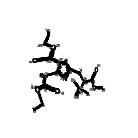 CCOC(=O)[Se]c1nc(C[C@@H](C(=O)OC)[N+](C)(C)C)cn1C(=O)OCC